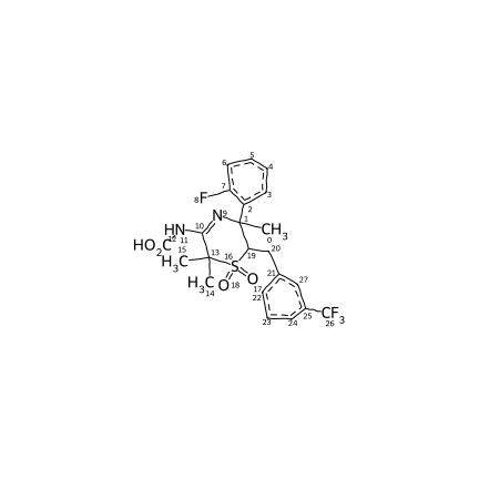 CC1(c2ccccc2F)N=C(NC(=O)O)C(C)(C)S(=O)(=O)C1Cc1cccc(C(F)(F)F)c1